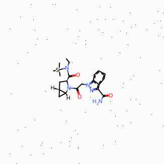 CCN(C(=O)[C@@H]1C[C@H]2C[C@H]2N1C(=O)Cn1nc(C(N)=O)c2ccccc21)[Si](C)(C)C